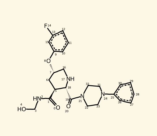 O=C(NCO)[C@H]1C[C@H](Oc2cccc(F)c2)CN[C@@H]1C(=O)N1CCN(c2ccccc2)CC1